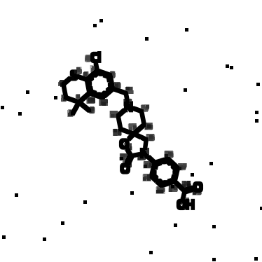 CC1(C)CCSc2c(Cl)cc(CN3CCC4(CC3)CN(c3ccc(C(=O)O)cc3)C(=O)O4)cc21